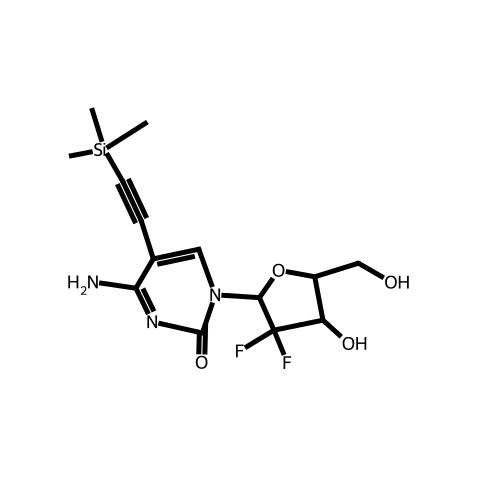 C[Si](C)(C)C#Cc1cn(C2OC(CO)C(O)C2(F)F)c(=O)nc1N